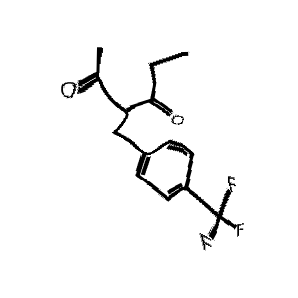 CCC(=O)C(Cc1ccc(C(F)(F)F)cc1)C(C)=O